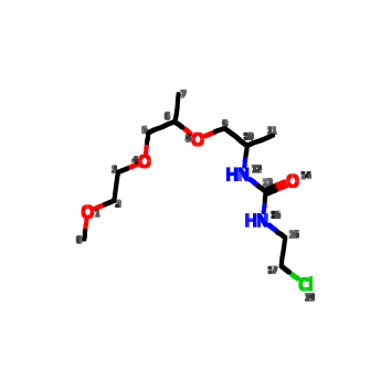 COCCOCC(C)OCC(C)NC(=O)NCCCl